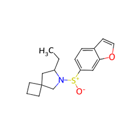 CCC1CC2(CCC2)CN1[S+]([O-])c1ccc2ccoc2c1